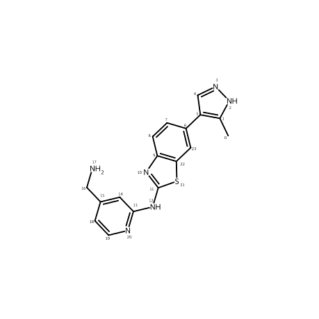 Cc1[nH]ncc1-c1ccc2nc(Nc3cc(CN)ccn3)sc2c1